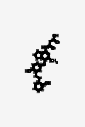 Cc1cc(NC(=O)CC(=O)O)c2c(c1Oc1ccc(O)c(CCc3ccccc3O)c1)CCC2